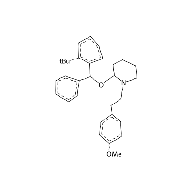 COc1ccc(CCN2CCCCC2OC(c2ccccc2)c2ccccc2C(C)(C)C)cc1